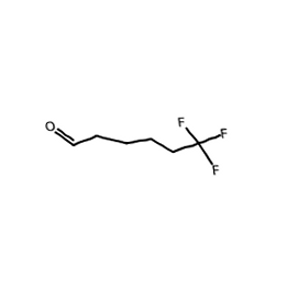 O=CCCCCC(F)(F)F